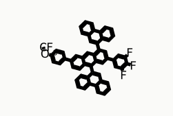 Fc1cc(-c2cc(-c3cc4ccccc4c4ccccc34)c3cc4cc(-c5ccc(OC(F)(F)F)cc5)ccc4c(-c4cc5ccccc5c5ccccc45)c3c2)cc(F)c1F